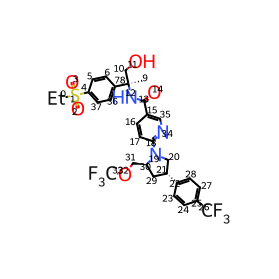 CCS(=O)(=O)c1ccc([C@@](C)(CO)NC(=O)c2ccc(N3C[C@H](c4ccc(C(F)(F)F)cc4)C[C@H]3COC(F)(F)F)nc2)cc1